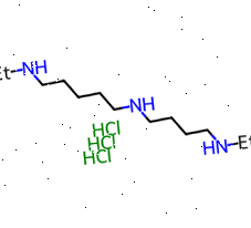 CCNCCCCCNCCCCNCC.Cl.Cl.Cl